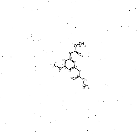 COC(=O)Cc1cc(CC(=O)OC)cc(SC)c1